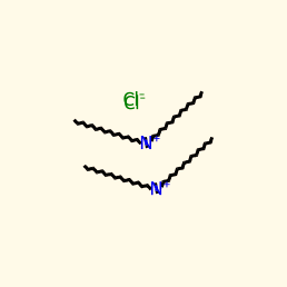 CCCCCCCCCCCCCCCC[N+](C)(C)CCCCCCCCCCCCCCCC.CCCCCCCCCCCCCCCC[N+](C)(C)CCCCCCCCCCCCCCCC.[Cl-].[Cl-]